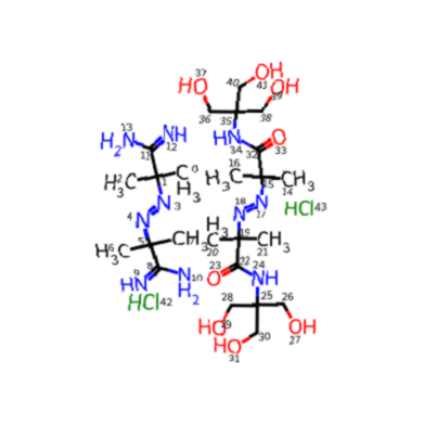 CC(C)(N=NC(C)(C)C(=N)N)C(=N)N.CC(C)(N=NC(C)(C)C(=O)NC(CO)(CO)CO)C(=O)NC(CO)(CO)CO.Cl.Cl